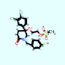 CS(=O)(=O)OCCOC1(c2ccc(Cl)c(Cl)c2)CCC(=O)N(Cc2ccc(F)cc2)C1